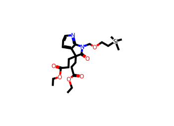 CCOC(=O)CCC1(CCC(=O)OCC)C(=O)N(COCC[Si](C)(C)C)c2ncccc21